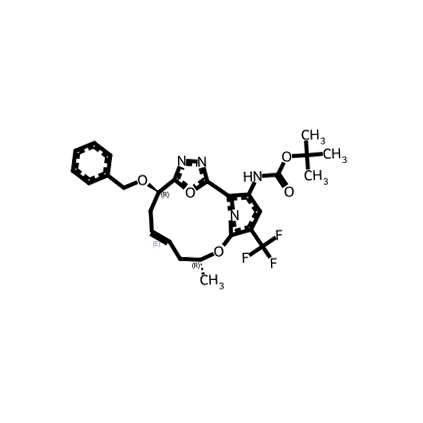 C[C@@H]1C/C=C/C[C@@H](OCc2ccccc2)c2nnc(o2)-c2nc(c(C(F)(F)F)cc2NC(=O)OC(C)(C)C)O1